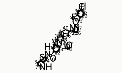 O=C(Nc1cc2[nH]ccc2s1)c1ccc2c(c1)nc(CN1CC=C(c3cccc(OCc4ccc(Cl)cc4F)n3)CC1)n2C[C@@H]1CCO1